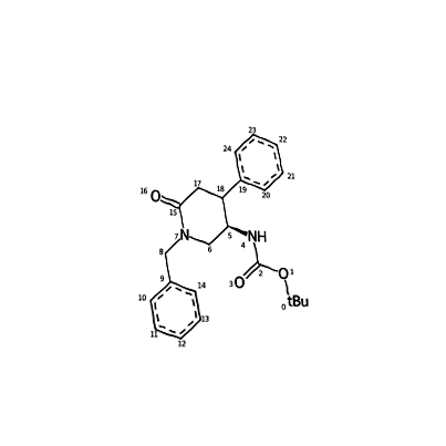 CC(C)(C)OC(=O)N[C@H]1CN(Cc2ccccc2)C(=O)CC1c1ccccc1